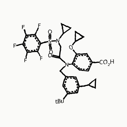 CC(C)(C)c1cc(CN(C(=O)CN(C2CC2)S(=O)(=O)c2c(F)c(F)c(F)c(F)c2F)c2ccc(C(=O)O)cc2OC2CC2)cc(C2CC2)c1